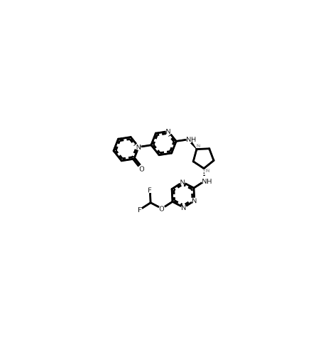 O=c1ccccn1-c1ccc(N[C@H]2CC[C@H](Nc3ncc(OC(F)F)nn3)C2)nc1